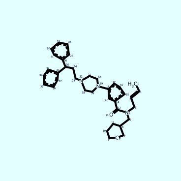 C/C=C/CN(CC1CCCCC1)C(=O)c1cccc(N2CCN(CCC(c3ccccc3)c3ccccc3)CC2)c1